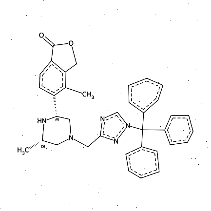 Cc1c([C@@H]2CN(Cc3ncn(C(c4ccccc4)(c4ccccc4)c4ccccc4)n3)C[C@H](C)N2)ccc2c1COC2=O